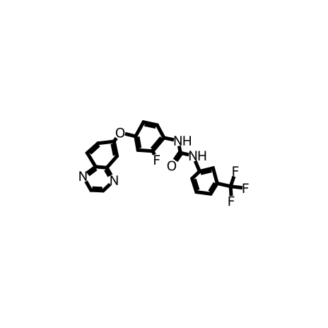 O=C(Nc1cccc(C(F)(F)F)c1)Nc1ccc(Oc2ccc3nccnc3c2)cc1F